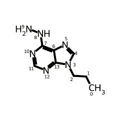 CCCn1cnc2c(NN)ncnc21